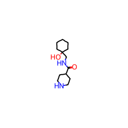 O=C(NCC1(O)CCCCC1)C1CCNCC1